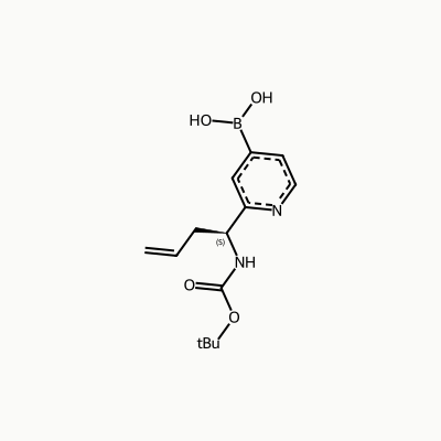 C=CC[C@H](NC(=O)OC(C)(C)C)c1cc(B(O)O)ccn1